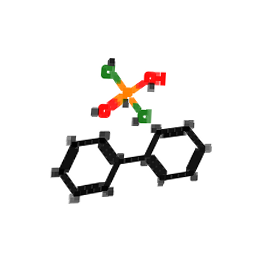 O=P(O)(Cl)Cl.c1ccc(-c2ccccc2)cc1